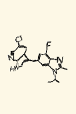 Cc1nc2c(F)cc(-c3c[nH]c4ncc(Cl)cc34)cc2n1C(C)C